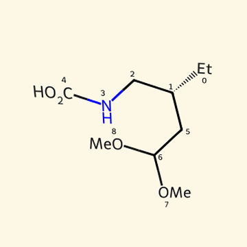 CC[C@@H](CNC(=O)O)CC(OC)OC